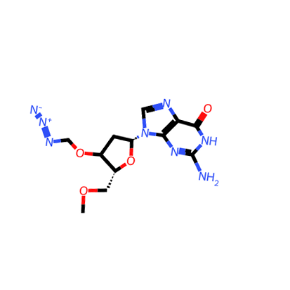 COC[C@H]1O[C@@H](n2cnc3c(=O)[nH]c(N)nc32)CC1OCN=[N+]=[N-]